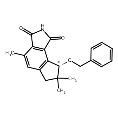 Cc1cc2c(c3c1C(=O)NC3=O)[C@H](OCc1ccccc1)C(C)(C)C2